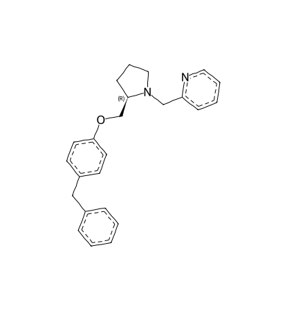 c1ccc(Cc2ccc(OC[C@H]3CCCN3Cc3ccccn3)cc2)cc1